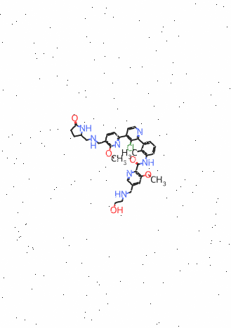 COc1cc(CNCCO)cnc1C(=O)Nc1cccc(-c2nccc(-c3ccc(CNCC4CCC(=O)N4)c(OC)n3)c2Cl)c1C